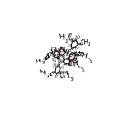 COc1c(Cl)ccc(P(c2cc(C)cc(C)c2)c2cc(C)cc(C)c2)c1-c1c(P(c2cc(C)cc(C)c2)c2cc(C)cc(C)c2)ccc(Cl)c1OC